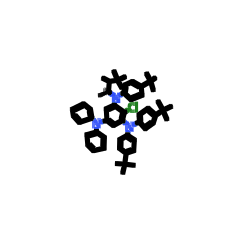 CC([C@H](C)N(c1ccc(C(C)(C)C)cc1)c1cc(N(c2ccccc2)c2ccccc2)cc(N(c2ccc(C(C)(C)C)cc2)c2ccc(C(C)(C)C)cc2)c1Cl)C(C)(C)C